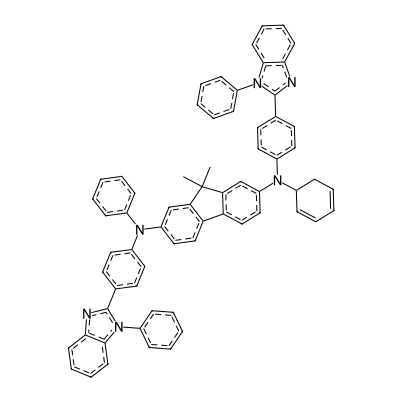 CC1(C)c2cc(N(c3ccccc3)c3ccc(-c4nc5ccccc5n4-c4ccccc4)cc3)ccc2-c2ccc(N(c3ccc(-c4nc5ccccc5n4-c4ccccc4)cc3)C3C=CC=CC3)cc21